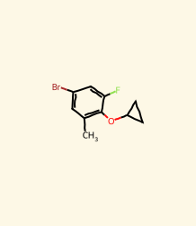 Cc1cc(Br)cc(F)c1OC1CC1